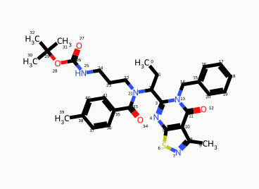 CCC(c1nc2snc(C)c2c(=O)n1Cc1ccccc1)N(CCCNC(=O)OC(C)(C)C)C(=O)c1ccc(C)cc1